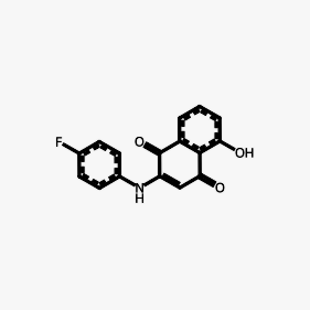 O=C1C(Nc2ccc(F)cc2)=CC(=O)c2c(O)cccc21